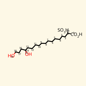 O=C(O)C(CCCCCCCCCCCCC(O)CCCO)S(=O)(=O)O